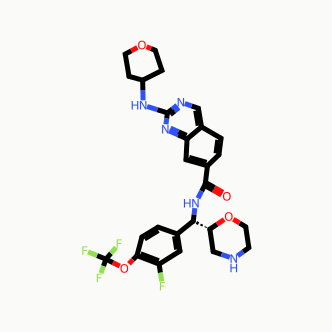 O=C(NC(c1ccc(OC(F)(F)F)c(F)c1)[C@H]1CNCCO1)c1ccc2cnc(NC3CCOCC3)nc2c1